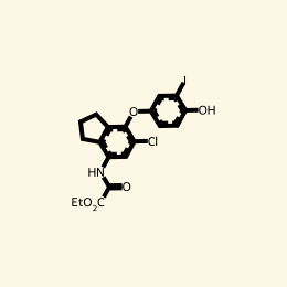 CCOC(=O)C(=O)Nc1cc(Cl)c(Oc2ccc(O)c(I)c2)c2c1CCC2